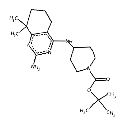 CC(C)(C)OC(=O)N1CCC(Nc2nc(N)nc3c2CCCC3(C)C)CC1